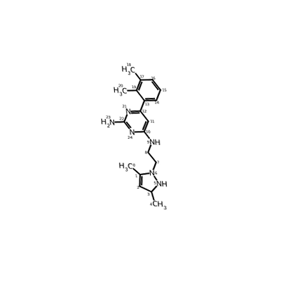 CC1=CC(C)NN1CCNc1cc(-c2cccc(C)c2C)nc(N)n1